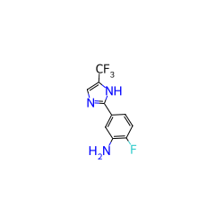 Nc1cc(-c2ncc(C(F)(F)F)[nH]2)ccc1F